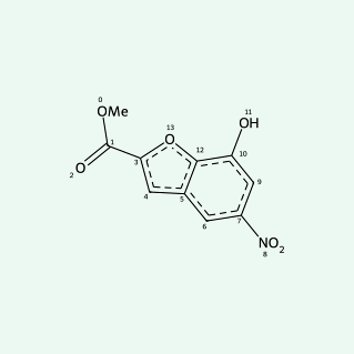 COC(=O)c1cc2cc([N+](=O)[O-])cc(O)c2o1